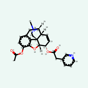 CC(=O)Oc1ccc2c3c1O[C@H]1[C@@H](OC(=O)Cc4cccnc4)C=C[C@H]4[C@@H](C2)N(C)CC[C@@]341